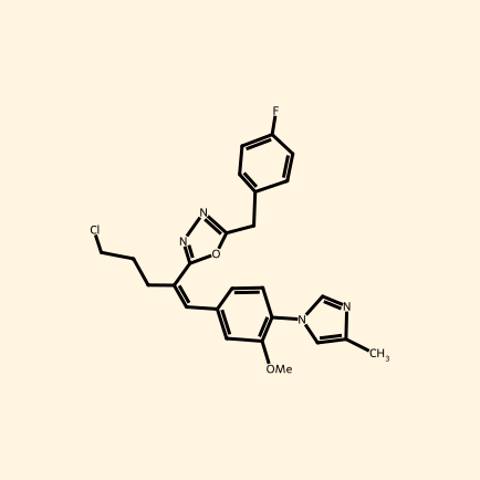 COc1cc(C=C(CCCCl)c2nnc(Cc3ccc(F)cc3)o2)ccc1-n1cnc(C)c1